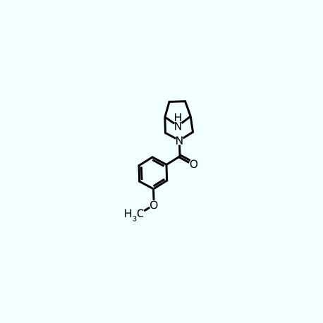 COc1cccc(C(=O)N2CC3CCC(C2)N3)c1